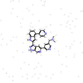 CN(C)Cc1cncc(-c2cc3c(-c4cc5c(-c6ccncc6)cccc5[nH]4)n[nH]c3cn2)c1